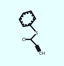 C#CC(Cl)Sc1ccccc1